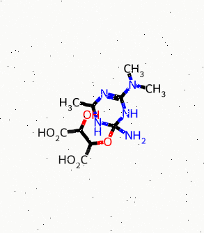 CC1N=C(N(C)C)NC(N)(OC(C(=O)O)C(O)C(=O)O)N1